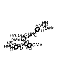 COC(=O)NC(=N)Nc1ccc(C(=O)NCCC[C@H]2C(=O)N(CC(=O)O)CCN2C(=O)[C@H](Cc2ccc(OC)cc2)NC(=O)c2ccc(NC(=N)NC(=O)OC)cc2)cc1.Cl